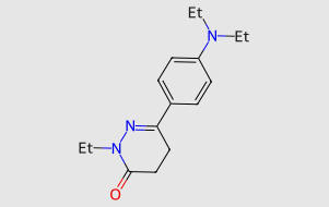 CCN1N=C(c2ccc(N(CC)CC)cc2)CCC1=O